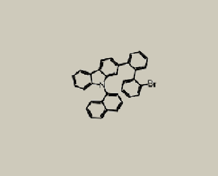 Brc1ccccc1-c1ccccc1-c1ccc2c3ccccc3n(-c3cccc4ccccc34)c2c1